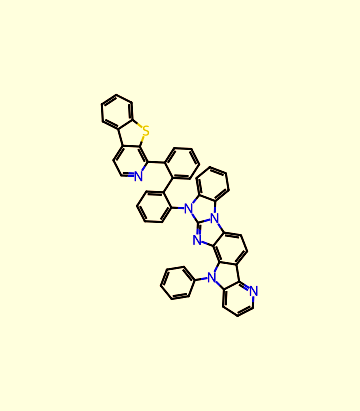 c1ccc(-n2c3cccnc3c3ccc4c(nc5n(-c6ccccc6-c6ccccc6-c6nccc7c6sc6ccccc67)c6ccccc6n45)c32)cc1